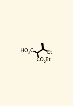 C=C(CC)C(C(=O)O)C(=O)OCC